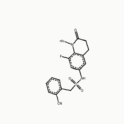 CCCN1C(=O)CCc2cc(NS(=O)(=O)Cc3ccccc3C#N)cc(F)c21